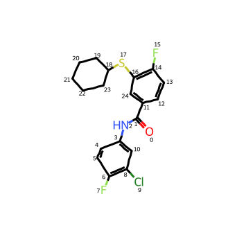 O=C(Nc1ccc(F)c(Cl)c1)c1ccc(F)c(SC2CCCCC2)c1